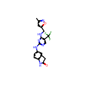 Cc1cc(CNc2nc(Nc3ccc4c(c3)CC(=O)N4)ncc2C(F)(F)F)on1